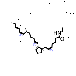 CCC=C/C=C\C(C)CCC/C=C/[C@H]1CCC[C@@H]1C/C=C\CCCC(=O)NCC